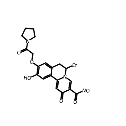 CCC1Cc2cc(OCC(=O)N3CCCC3)c(O)cc2-c2cc(=O)c(C(=O)N=O)cn21